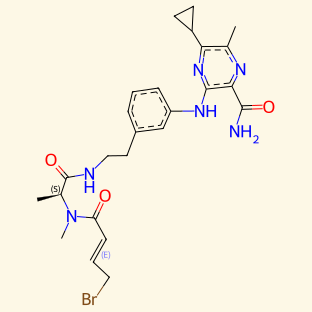 Cc1nc(C(N)=O)c(Nc2cccc(CCNC(=O)[C@H](C)N(C)C(=O)/C=C/CBr)c2)nc1C1CC1